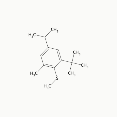 CSc1c(C)cc(C(C)C)cc1C(C)(C)C